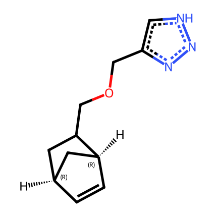 C1=C[C@H]2C[C@@H]1CC2COCc1c[nH]nn1